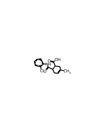 CC1=CCC(C(=O)Nc2ccccc2Cl)C(C(=O)O)C1